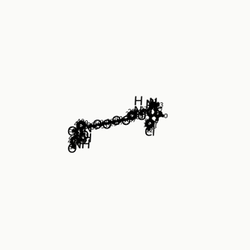 Cc1sc2c(c1C)C(c1ccc(Cl)cc1)N[C@@H](CC(=O)Nc1ccc(OCCOCCOCCOCCNc3cccc4c3C(=O)N(C3CCC(=O)NC3=O)C4=O)cc1)c1nnc(C)n1-2